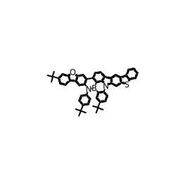 CC(C)(C)c1ccc(N2B3c4cc(C(C)(C)C)ccc4-n4c5cc6sc7ccccc7c6cc5c5ccc(c3c54)-c3cc4oc5cc(C(C)(C)C)ccc5c4cc32)cc1